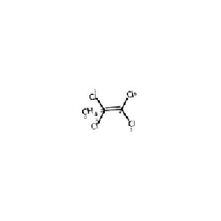 C.ClC(Cl)=C(Cl)Cl